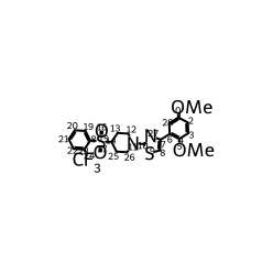 COc1ccc(OC)c(-c2csc(N3CCC(S(=O)(=O)c4ccccc4C(F)(F)F)CC3)n2)c1